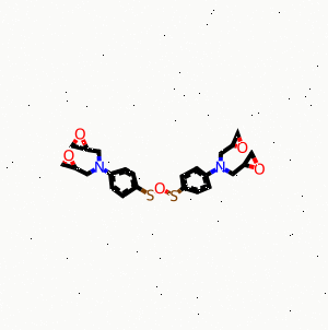 c1cc(N(CC2CO2)CC2CO2)ccc1SOSc1ccc(N(CC2CO2)CC2CO2)cc1